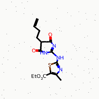 C=CCCC1C(=O)N=C(Nc2nc(C)c(C(=O)OCC)s2)NC1=O